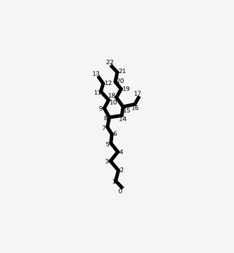 CCCCCCCCC(CCCCC)CC(CC)CCCCC